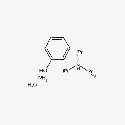 CC(C)[SiH](C(C)C)C(C)C.I.N.O.Oc1ccccc1